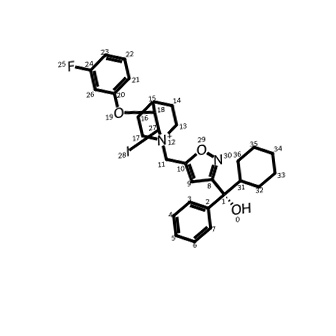 O[C@](c1ccccc1)(c1cc(C[N+]23CCC(CC2)C(Oc2cccc(F)c2)C3I)on1)C1CCCCC1